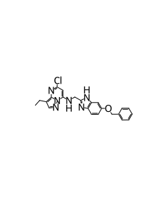 CCc1cnn2c(NCc3nc4ccc(OCc5ccccc5)cc4[nH]3)cc(Cl)nc12